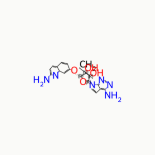 C=C[C@@]1(O)[C@@H](COc2ccc3ccc(N)nc3c2)O[C@@H](n2ccc3c(N)ncnc32)[C@@H]1O